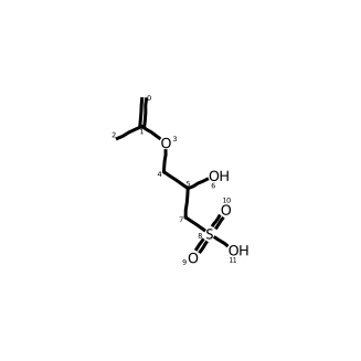 C=C(C)OCC(O)CS(=O)(=O)O